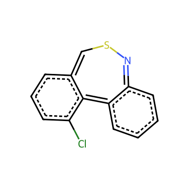 Clc1cccc2c1=c1ccccc1=NSC=2